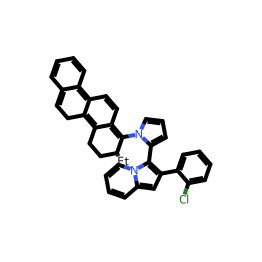 CCC1CCc2c3c(ccc2=C1n1cccc1-c1c(-c2ccccc2Cl)cc2ccccn12)=c1ccccc1=CC3